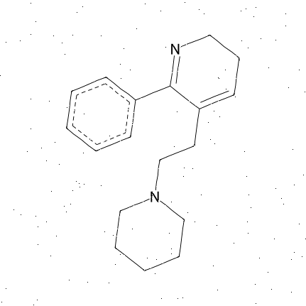 C1=C(CCN2CCCCC2)C(c2ccccc2)=NCC1